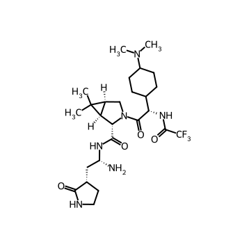 CN(C)C1CCC([C@H](NC(=O)C(F)(F)F)C(=O)N2C[C@H]3[C@@H]([C@H]2C(=O)N[C@H](N)C[C@@H]2CCNC2=O)C3(C)C)CC1